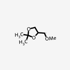 CO[CH]C1COC(C)(C)O1